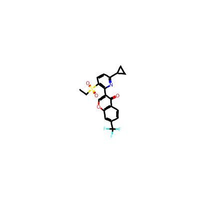 CCS(=O)(=O)c1ccc(C2CC2)nc1-c1coc2cc(C(F)(F)F)ccc2c1=O